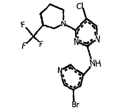 FC(F)(F)C1CCCN(c2nc(Nc3cncc(Br)c3)ncc2Cl)C1